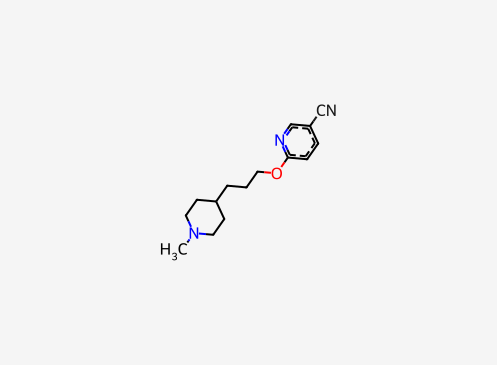 CN1CCC(CCCOc2ccc(C#N)cn2)CC1